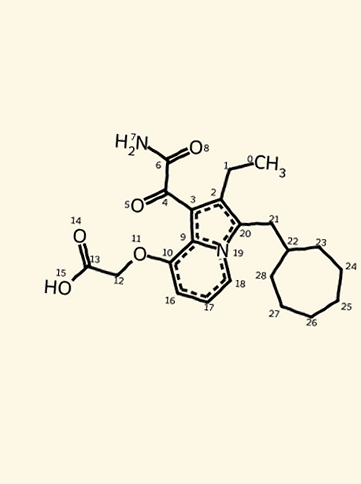 CCc1c(C(=O)C(N)=O)c2c(OCC(=O)O)cccn2c1CC1CCCCCC1